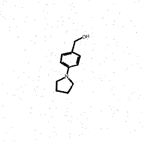 OCc1ccc(N2CCCC2)cc1